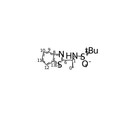 C[C@H](N[S@+]([O-])C(C)(C)C)c1nc2ccccc2s1